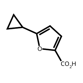 O=C(O)c1ccc(C2CC2)o1